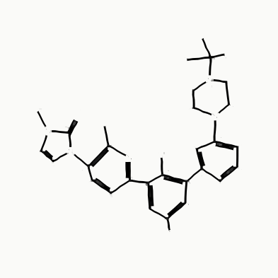 Cc1nc(-c2cc(F)cc(-c3cccc(N4CCN(C(C)(C)C)CC4)c3)c2O)ccc1-n1ccn(C)c1=O